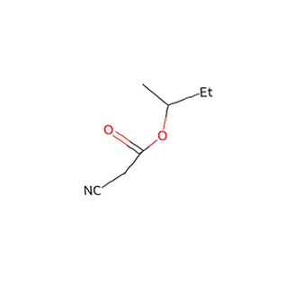 CCC(C)OC(=O)CC#N